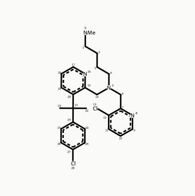 CNCCCCN(Cc1ncccc1Cl)Cc1ncccc1C(C)(C)c1ccc(Cl)cc1